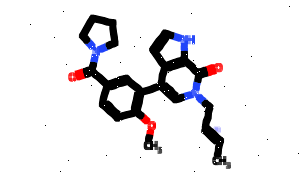 C/C=C/Cn1cc(-c2cc(C(=O)N3CCCC3)ccc2OC)c2cc[nH]c2c1=O